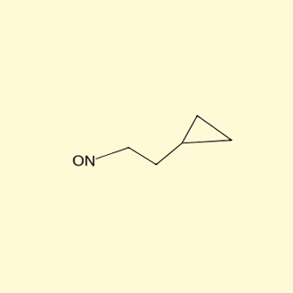 O=NCCC1CC1